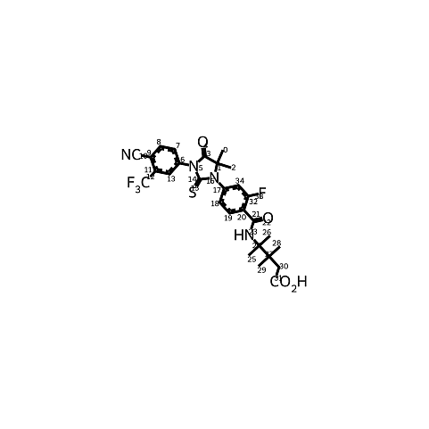 CC1(C)C(=O)N(c2ccc(C#N)c(C(F)(F)F)c2)C(=S)N1c1ccc(C(=O)NC(C)(C)C(C)(C)CC(=O)O)c(F)c1